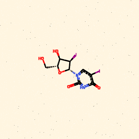 O=c1[nH]c(=O)n([C@@H]2O[C@H](CO)[C@@H](O)[C@H]2I)cc1I